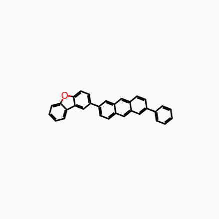 c1ccc(-c2ccc3cc4cc(-c5ccc6oc7ccccc7c6c5)ccc4cc3c2)cc1